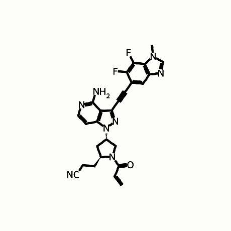 C=CC(=O)N1C[C@@H](n2nc(C#Cc3cc4ncn(C)c4c(F)c3F)c3c(N)nccc32)C[C@@H]1CCC#N